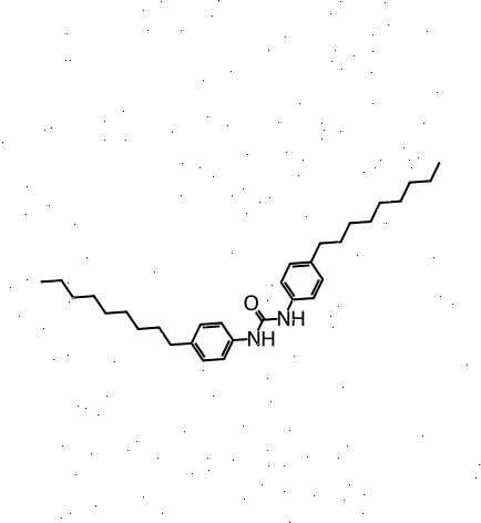 CCCCCCCCCc1ccc(NC(=O)Nc2ccc(CCCCCCCCC)cc2)cc1